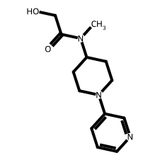 CN(C(=O)CO)C1CCN(c2cccnc2)CC1